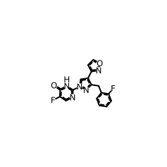 O=c1[nH]c(-n2cc(-c3ccon3)c(Cc3ccccc3F)n2)ncc1F